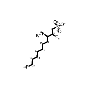 O=S(=O)([O-])CC(F)C(F)CCCCCCCF.[K+]